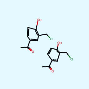 CC(=O)c1ccc(O)c(CCl)c1.CC(=O)c1ccc(O)c(CCl)c1